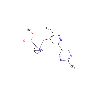 CC(C)(C)OC(=O)N1C2CC(C2)C1Cc1cc(-c2cnc(C(F)(F)F)nc2)ncc1C(F)(F)F